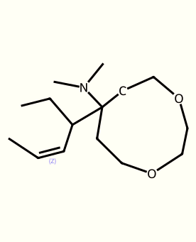 C/C=C\C(CC)C1(N(C)C)CCOCCOCC1